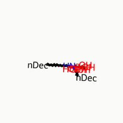 CCCCCCCCCCCCCCCCCCCCCCCCCC(=O)NC(COCC(O)C(O)CO)C(O)C(O)CCCCCCCCCCCCCC